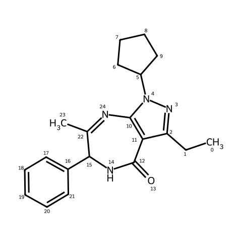 CCc1nn(C2CCCC2)c2c1C(=O)NC(c1ccccc1)C(C)=N2